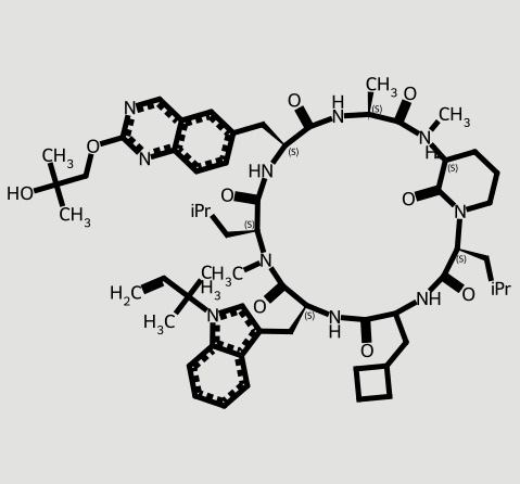 C=CC(C)(C)n1cc(C[C@@H]2NC(=O)C(CC3CCC3)NC(=O)[C@H](CC(C)C)N3CCC[C@@H](C3=O)N(C)C(=O)[C@H](C)NC(=O)[C@H](Cc3ccc4nc(OCC(C)(C)O)ncc4c3)NC(=O)[C@H](CC(C)C)N(C)C2=O)c2ccccc21